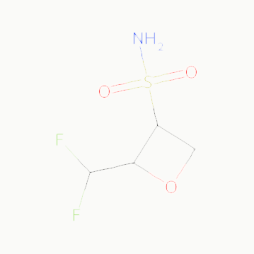 NS(=O)(=O)C1COC1C(F)F